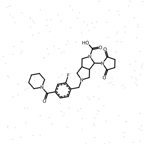 O=C(c1ccc(CN2CC3CN(C(=O)O)C(N4C(=O)CCC4=O)C3C2)c(F)c1)N1CCCCC1